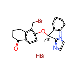 Br.C[C@](Oc1ccc2c(c1CBr)CCCC2=O)(c1ccccc1)c1ncc[nH]1